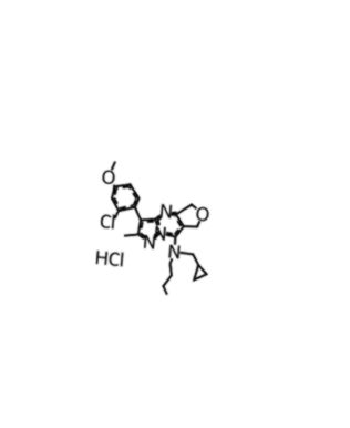 CCCCN(CC1CC1)c1c2c(nc3c(-c4ccc(OC)cc4Cl)c(C)nn13)COC2.Cl